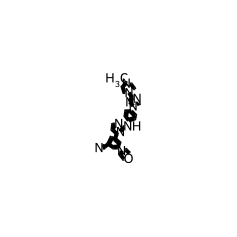 CN1CCN(c2ncn(-c3ccc(Nc4nccc(-c5cc(C#N)cc(N6CCOCC6)c5)n4)cc3)n2)CC1